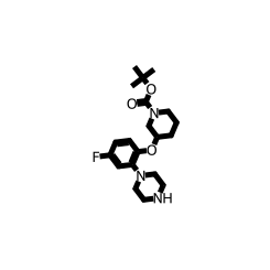 CC(C)(C)OC(=O)N1CCCC(Oc2ccc(F)cc2N2CCNCC2)C1